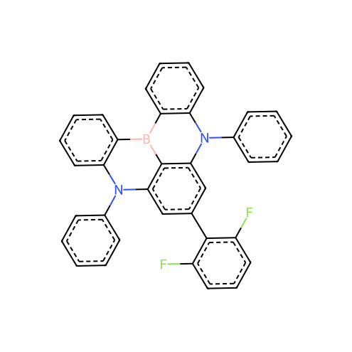 Fc1cccc(F)c1-c1cc2c3c(c1)N(c1ccccc1)c1ccccc1B3c1ccccc1N2c1ccccc1